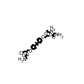 C=C(CN)OC(COC(=O)CN)COc1ccc(C(C)(C)c2ccc(OCC(CCl)OC(=O)CN)cc2)cc1